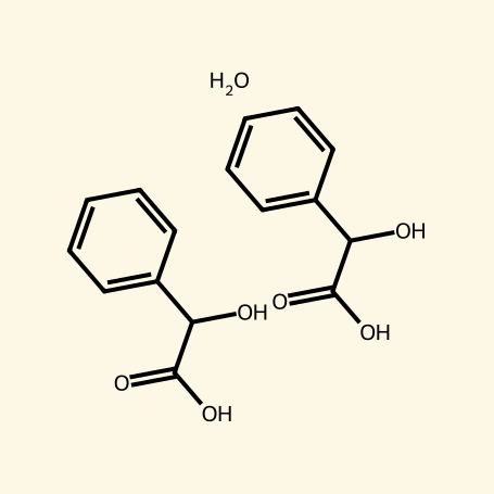 O.O=C(O)C(O)c1ccccc1.O=C(O)C(O)c1ccccc1